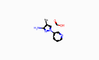 Nc1nn(-c2cccnc2)c[c]1[Na].O=CO